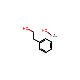 O=[N+]([O-])O.OCCc1ccccc1